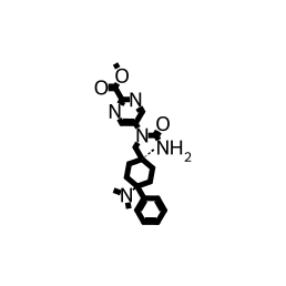 COC(=O)c1ncc(N(C[C@]2(C)CC[C@@](c3ccccc3)(N(C)C)CC2)C(N)=O)cn1